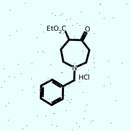 CCOC(=O)C1CCN(Cc2ccccc2)CCC1=O.Cl